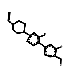 C=CC1CCC(c2ccc(-c3ccc(CF)c(F)c3)c(F)c2)CC1